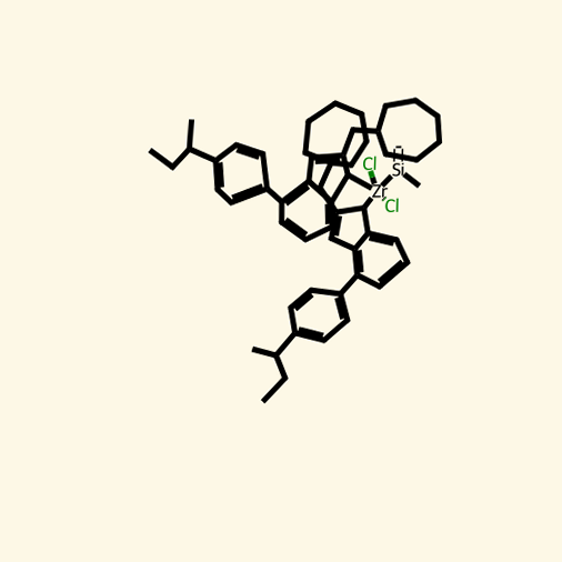 CCC(C)c1ccc(-c2cccc3c2C=C(CC2CCCCCC2)[CH]3[Zr]([Cl])([Cl])([CH]2C(CC3CCCCCC3)=Cc3c(-c4ccc(C(C)CC)cc4)cccc32)[SiH](C)C)cc1